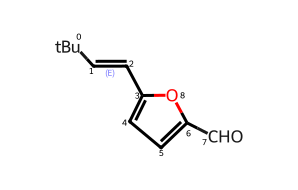 CC(C)(C)/C=C/c1ccc(C=O)o1